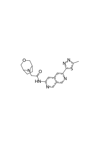 Cc1nnc(-c2cc3cc(NC(=O)CN4C5CCC4COC5)ncc3cn2)s1